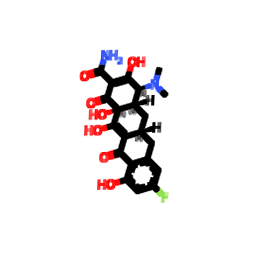 CN(C)[C@@H]1C(O)=C(C(N)=O)C(=O)[C@@]2(O)C(O)=C3C(=O)c4c(O)cc(F)cc4C[C@H]3C[C@@H]12